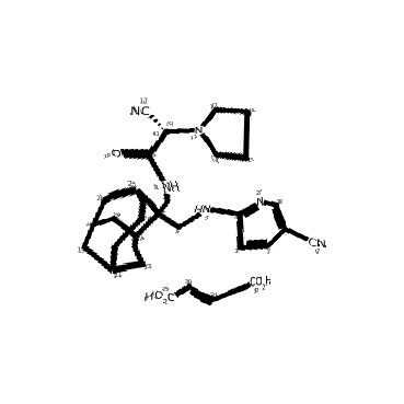 N#Cc1ccc(NCC2(NC(=O)[C@H](C#N)N3CCCC3)C3CC4CC(C3)CC2C4)nc1.O=C(O)C=CC(=O)O